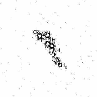 CN1CCN(CCC(=O)Nc2ccc3c(Nc4cnnc(-c5cc(Cl)ccc5F)c4)ccnc3c2)CC1